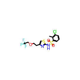 Cc1c(Cl)cccc1S(=O)(=O)Nc1nc(CCOCC(F)(F)F)cs1